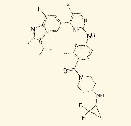 Cc1nc(Nc2ncc(F)c(-c3cc(F)c4nc(C)n(C(C)C)c4c3)n2)ccc1C(=O)N1CCC(NC2CC2(F)F)CC1